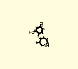 CC1CNCCCC1Oc1ccc(Cl)cc1O